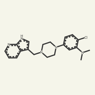 CN(C)c1cc(N2CCN(Cc3c[nH]c4ncccc34)CC2)ccc1Cl